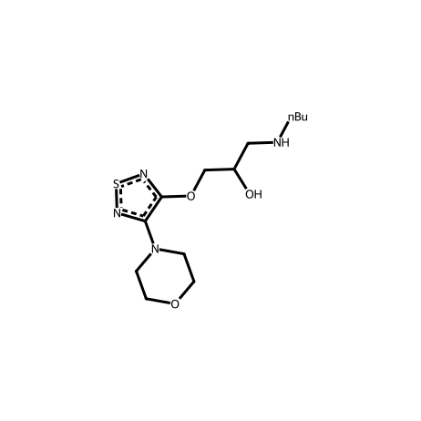 CCCCNCC(O)COc1nsnc1N1CCOCC1